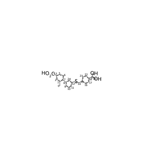 Cc1cc(C(=O)O)ccc1-c1cccc(SCc2ccc(C(O)O)cc2)c1